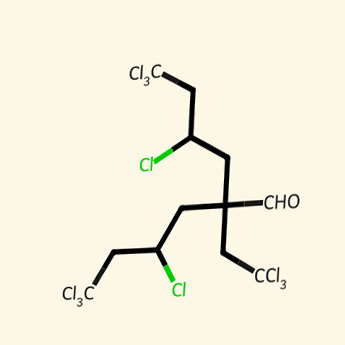 O=CC(CC(Cl)CC(Cl)(Cl)Cl)(CC(Cl)CC(Cl)(Cl)Cl)CC(Cl)(Cl)Cl